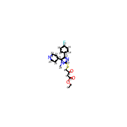 CCOC(=O)CC(=O)CSc1nc(-c2ccc(F)cc2)c(-c2ccncc2)n1C